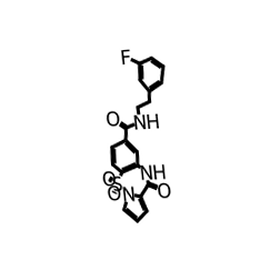 O=C(NCCc1cccc(F)c1)c1ccc2c(c1)NC(=O)c1cccn1S2(=O)=O